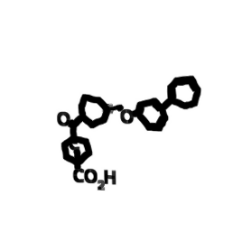 O=C(O)C12CCC(C(=O)C3CCC[C@@H](COC4=CC=C(C5=CC=C=CCC5)C=C=C4)CC3)(CC1)CC2